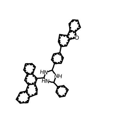 c1ccc(C2NC(c3ccc(-c4ccc5c(c4)oc4ccccc45)cc3)NC(c3c4ccccc4cc4c3ccc3ccccc34)N2)cc1